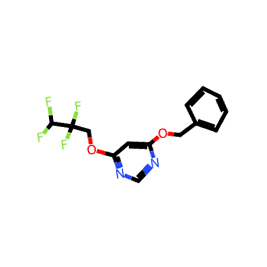 FC(F)C(F)(F)COc1cc(OCc2ccccc2)ncn1